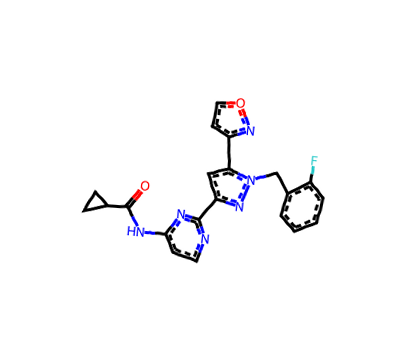 O=C(Nc1ccnc(-c2cc(-c3ccon3)n(Cc3ccccc3F)n2)n1)C1CC1